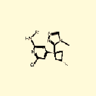 CCNc1cc([C@]2(c3nncn3C)C[C@@H](C)C2)cc(Cl)n1